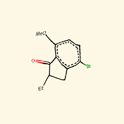 CCC1Cc2c(Br)ccc(OC)c2C1=O